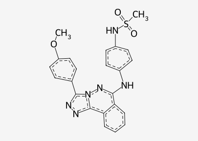 COc1ccc(-c2nnc3c4ccccc4c(Nc4ccc(NS(C)(=O)=O)cc4)nn23)cc1